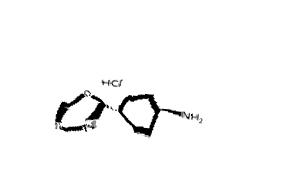 Cl.N[C@H]1CC[C@H](c2nnco2)CC1